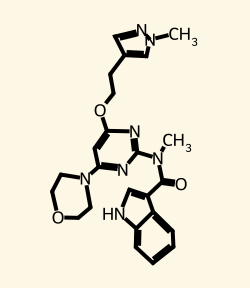 CN(C(=O)c1c[nH]c2ccccc12)c1nc(OCCc2cnn(C)c2)cc(N2CCOCC2)n1